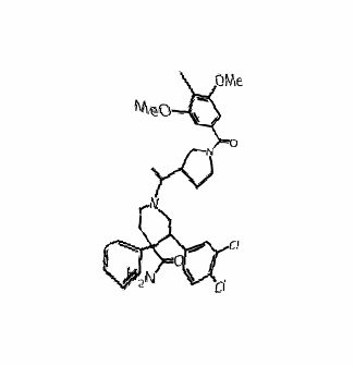 COc1cc(C(=O)N2CCC(C(C)N3CCC(C(N)=O)(c4ccccc4)C(c4ccc(Cl)c(Cl)c4)C3)C2)cc(OC)c1C